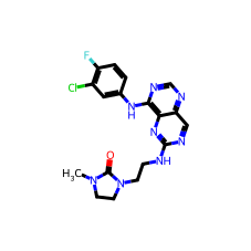 CN1CCN(CCNc2ncc3ncnc(Nc4ccc(F)c(Cl)c4)c3n2)C1=O